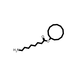 NCCCCCCCC(=O)OC1CCCCCCCCCCC1